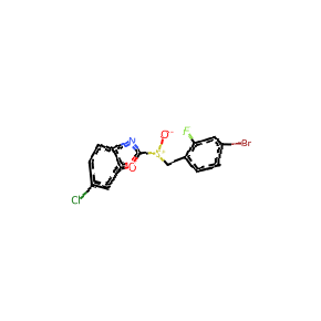 [O-][S+](Cc1ccc(Br)cc1F)c1nc2ccc(Cl)cc2o1